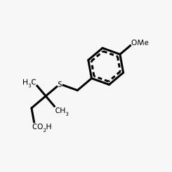 COc1ccc(CSC(C)(C)CC(=O)O)cc1